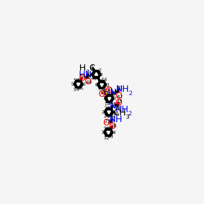 Cc1ccc(-c2ccc(S(=O)(=O)c3ccc(N(C(N)=O)c4cccc(NC(=O)Oc5ccccc5)c4C)cc3NC(N)=O)cc2)cc1NC(=O)Oc1ccccc1